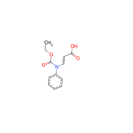 CCOC(=O)N(C=CC(=O)O)c1ccccc1